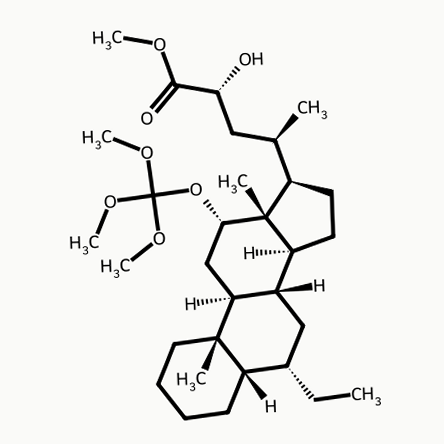 CC[C@H]1C[C@@H]2[C@H](C[C@H](OC(OC)(OC)OC)[C@]3(C)[C@@H]([C@H](C)C[C@@H](O)C(=O)OC)CC[C@@H]23)[C@@]2(C)CCCC[C@@H]12